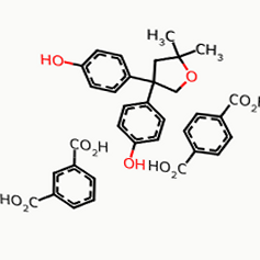 CC1(C)CC(c2ccc(O)cc2)(c2ccc(O)cc2)CO1.O=C(O)c1ccc(C(=O)O)cc1.O=C(O)c1cccc(C(=O)O)c1